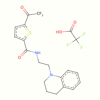 O=C(NCCN1CCCc2ccccc21)c1ccc(C(=O)C(F)(F)F)s1.O=C(O)C(F)(F)F